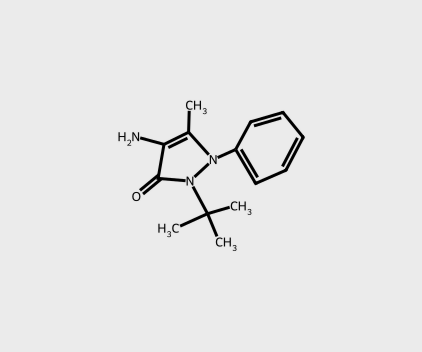 Cc1c(N)c(=O)n(C(C)(C)C)n1-c1ccccc1